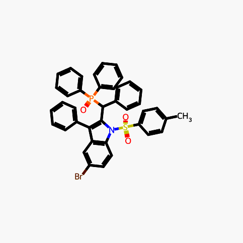 Cc1ccc(S(=O)(=O)n2c(C(c3ccccc3)P(=O)(c3ccccc3)c3ccccc3)c(-c3ccccc3)c3cc(Br)ccc32)cc1